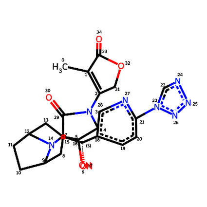 CC1=C(N2CC(O)C3(CC4CCC(C3)N4C[C@@H](O)c3ccc(-n4cnnn4)nc3)C2=O)COC1=O